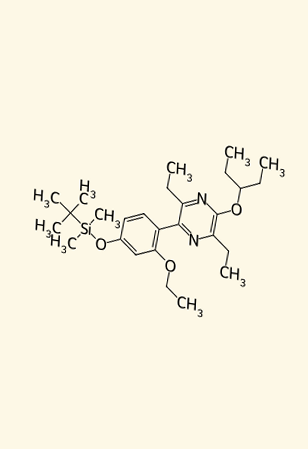 CCOc1cc(O[Si](C)(C)C(C)(C)C)ccc1-c1nc(CC)c(OC(CC)CC)nc1CC